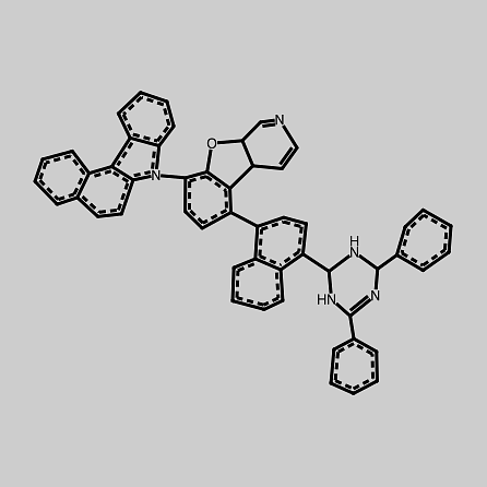 C1=CC2c3c(-c4ccc(C5NC(c6ccccc6)=NC(c6ccccc6)N5)c5ccccc45)ccc(-n4c5ccccc5c5c6ccccc6ccc54)c3OC2C=N1